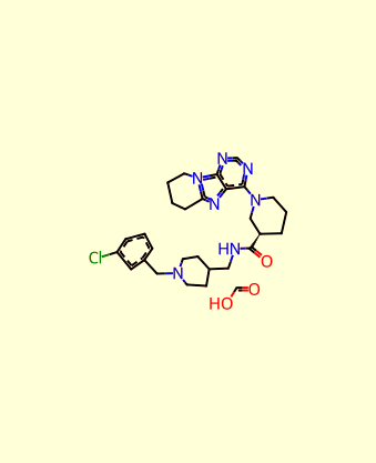 O=C(NCC1CCN(Cc2cccc(Cl)c2)CC1)[C@@H]1CCCN(c2ncnc3c2nc2n3CCCC2)C1.O=CO